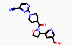 N#Cc1ccnc(N2CCC(C(=O)N3OCCC3c3cncc(CO)c3)CC2)n1